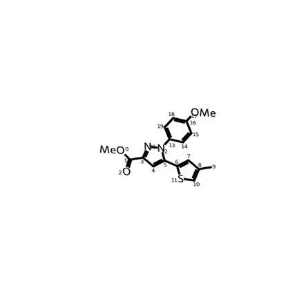 COC(=O)c1cc(-c2cc(C)cs2)n(-c2ccc(OC)cc2)n1